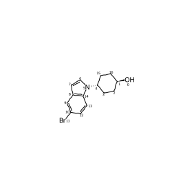 O[C@H]1CC[C@H](n2ccc3cc(Br)ccc32)CC1